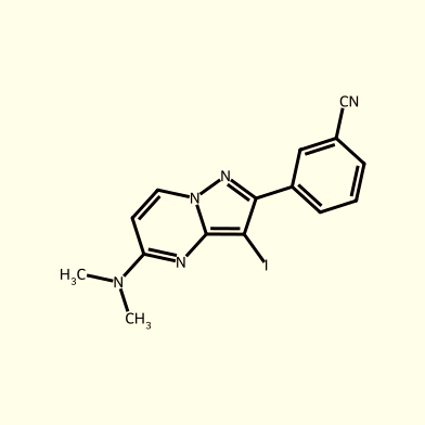 CN(C)c1ccn2nc(-c3cccc(C#N)c3)c(I)c2n1